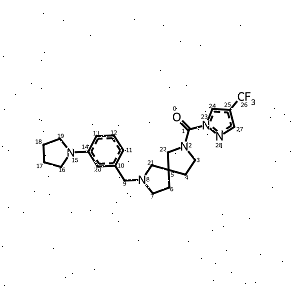 O=C(N1CCC2(CCN(Cc3cccc(N4CCCC4)c3)C2)C1)n1cc(C(F)(F)F)cn1